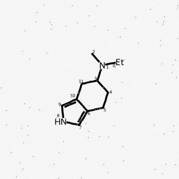 CCN(C)C1CCc2c[nH]cc2C1